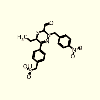 CCC1SC(C=O)N(Cc2ccc([N+](=O)[O-])cc2)N=C1c1ccc(C[SH](=O)=O)cc1